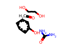 C=O.NC(N)=O.OCCO.Oc1ccccc1